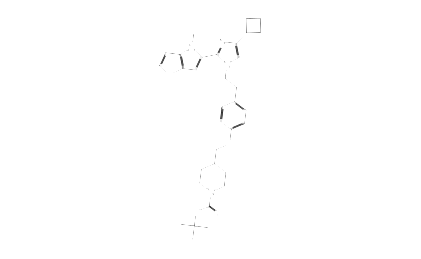 Cn1c(-c2nc(C3CCC3)cn2CCc2ccc(OCC3CCN(C(=O)OC(C)(C)C)CC3)cc2)cc2sccc21